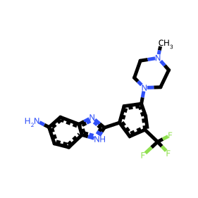 CN1CCN(c2cc(-c3nc4cc(N)ccc4[nH]3)cc(C(F)(F)F)c2)CC1